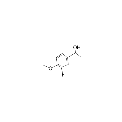 [CH2]Oc1ccc(C(C)O)cc1F